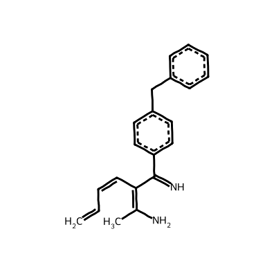 C=C/C=C\C(C(=N)c1ccc(Cc2ccccc2)cc1)=C(/C)N